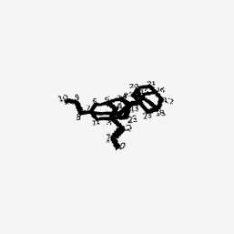 CC=CC12CC3CC(C=CC)(C1)CC(C14CC5CC(CC(C5)C1)C4)(C3)C2